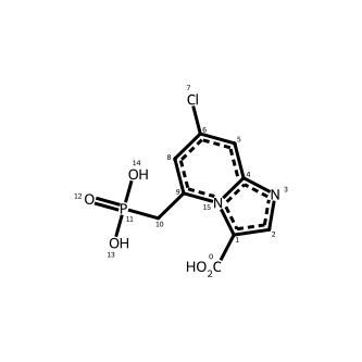 O=C(O)c1cnc2cc(Cl)cc(CP(=O)(O)O)n12